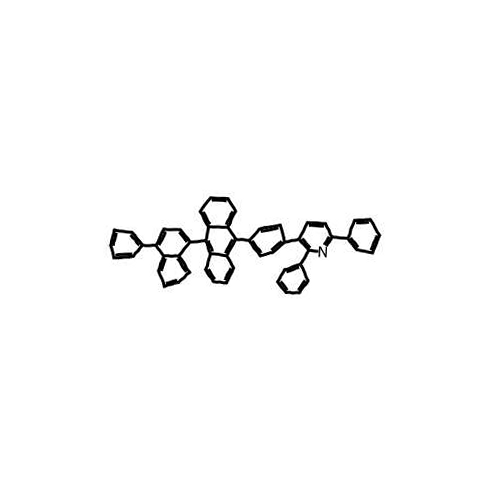 c1ccc(-c2ccc(-c3ccc(-c4c5ccccc5c(-c5ccc(-c6ccccc6)c6ccccc56)c5ccccc45)cc3)c(-c3ccccc3)n2)cc1